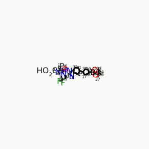 CC(C)[C@@H](C(=O)N1CC(F)(F)C[C@H]1c1nc2cc(-c3ccc(B4OC(C)(C)C(C)(C)O4)cc3)ccc2[nH]1)N(C)C(=O)O